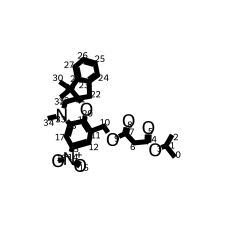 CC(C)OC(=O)CC(=O)OCc1cc([N+](=O)[O-])cc2c1OC1(Cc3ccccc3C1(C)C)CN2C